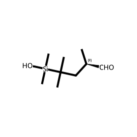 C[C@@H](C=O)CC(C)(C)[Si](C)(C)O